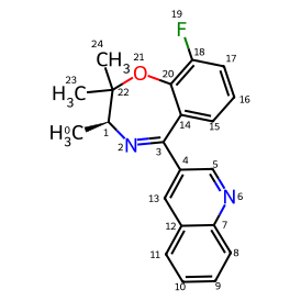 C[C@@H]1N=C(c2cnc3ccccc3c2)c2cccc(F)c2OC1(C)C